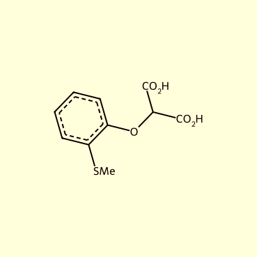 CSc1ccccc1OC(C(=O)O)C(=O)O